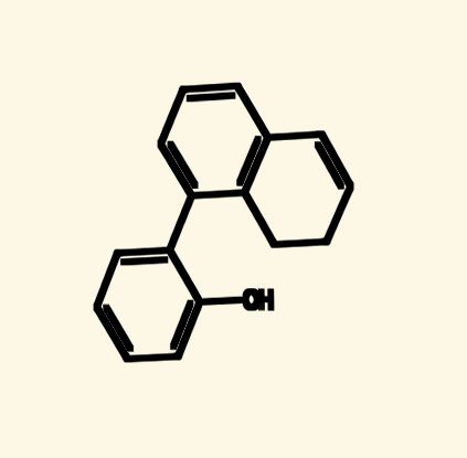 Oc1ccccc1-c1cccc2c1CCC=C2